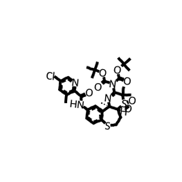 Cc1cc(Cl)cnc1C(=O)Nc1ccc2c(c1)[C@@]1(C)N=C(N(C(=O)OC(C)(C)C)C(=O)OC(C)(C)C)C(C)(C)S(=O)(=O)[C@@H]1CCS2